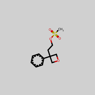 CS(=O)(=O)OCCC1(c2ccccc2)COC1